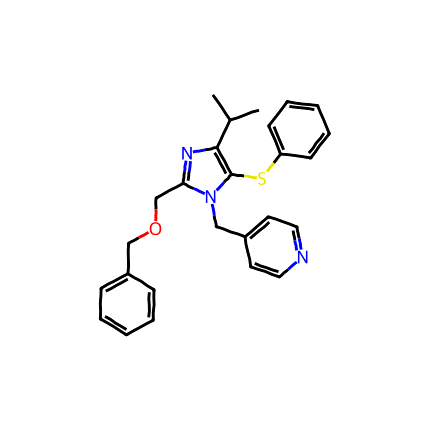 CC(C)c1nc(COCc2ccccc2)n(Cc2ccncc2)c1Sc1ccccc1